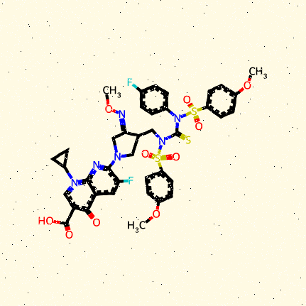 CON=C1CN(c2nc3c(cc2F)c(=O)c(C(=O)O)cn3C2CC2)CC1CN(C(=S)N(c1ccc(F)cc1)S(=O)(=O)c1ccc(OC)cc1)S(=O)(=O)c1ccc(OC)cc1